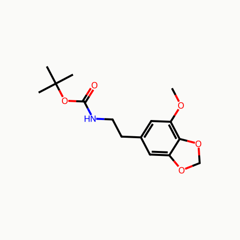 COc1cc(CCNC(=O)OC(C)(C)C)cc2c1OCO2